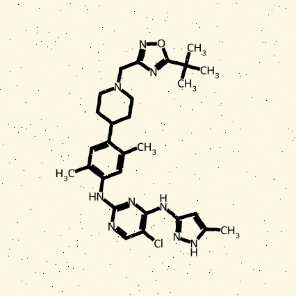 Cc1cc(Nc2nc(Nc3cc(C)c(C4CCN(Cc5noc(C(C)(C)C)n5)CC4)cc3C)ncc2Cl)n[nH]1